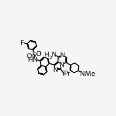 CNC1CC=C(c2cnc(N)c3c(-c4ccc(NS(=O)(=O)c5cccc(F)c5)c5ccccc45)nc(C(C)C)n23)CC1